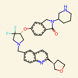 O=C1c2ccc(O[C@@H]3CN(Cc4ccc5nc([C@H]6CCOC6)ccc5c4)CC3(F)F)cc2CN1C1CCCNC1